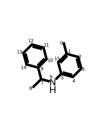 Cc1cccc(NC(C)c2ccccc2)c1